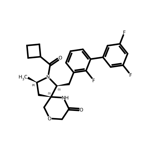 C[C@@H]1C[C@@]2(COCC(=O)N2)[C@H](Cc2cccc(-c3cc(F)cc(F)c3)c2F)N1C(=O)C1CCC1